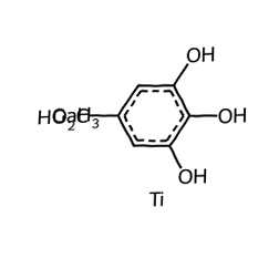 O=C(O)c1cc(O)c(O)c(O)c1.[GaH3].[Ti]